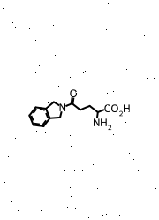 NC(CCC(=O)N1Cc2ccccc2C1)C(=O)O